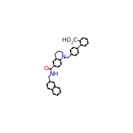 O=C(NCc1ccc2ccccc2c1)c1ccc2c(c1)CCCN2Cc1ccc(-c2ccccc2C(=O)O)cc1